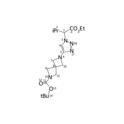 CCOC(=O)C(C(C)C)n1cc(N2CC3(CN(C(=O)OC(C)(C)C)C3)C2)nn1